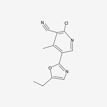 CCc1cnc(-c2cnc(Cl)c(C#N)c2C)o1